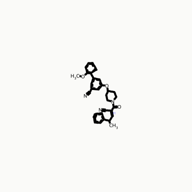 COc1ccccc1-c1cc(C#N)cc(OC2CCN(C(=O)/C(C#N)=C/C(C)c3cc#ccc3)CC2)c1